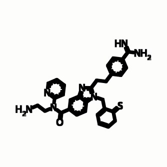 N=C(N)c1ccc(CCc2nc3cc(C(=O)N(CCN)c4ccccn4)ccc3n2CC2=CC=CCC2=S)cc1